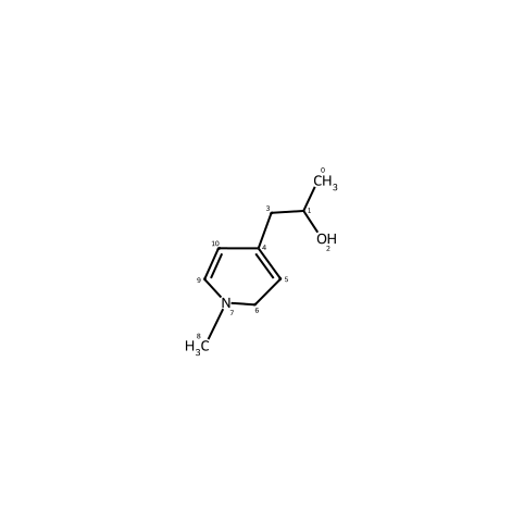 CC(O)CC1=CCN(C)C=C1